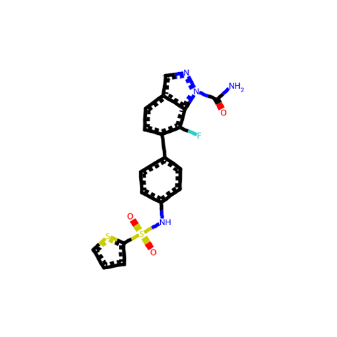 NC(=O)n1n[c]c2ccc(-c3ccc(NS(=O)(=O)c4cccs4)cc3)c(F)c21